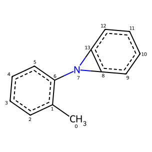 Cc1ccccc1N1c2ccccc21